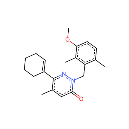 COc1ccc(C)c(Cn2nc(C3=CCCCC3)c(C)cc2=O)c1C